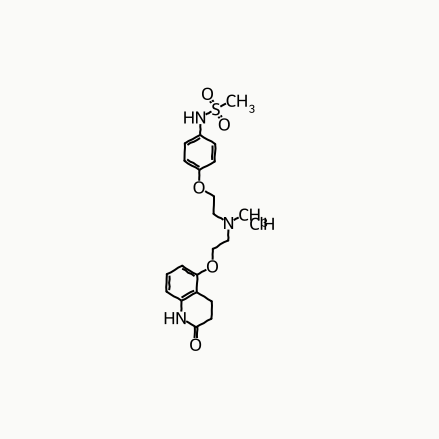 CN(CCOc1ccc(NS(C)(=O)=O)cc1)CCOc1cccc2c1CCC(=O)N2.Cl